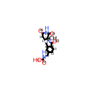 C[C@@]1(N2Cc3cc(CNC(=O)O)ccc3C2=O)CCC(=O)NC1=O